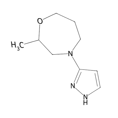 CC1CN(c2cc[nH]n2)CCCO1